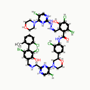 Cc1cccc(Cl)c1-c1c(Br)cc(/C=N\Cc2ncc(F)c(N3CCOC(c4ccc(NC(=O)c5c(Br)cc(Cl)c(O)c5/C=N\Nc5ncc(F)c(N6CCOCC6)n5)c(Cl)c4)C3)n2)c(O)c1Cl